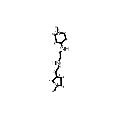 CN1CCC(NCCNCCC2CCN(C)C2)CC1